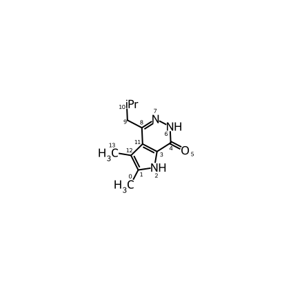 Cc1[nH]c2c(=O)[nH]nc(CC(C)C)c2c1C